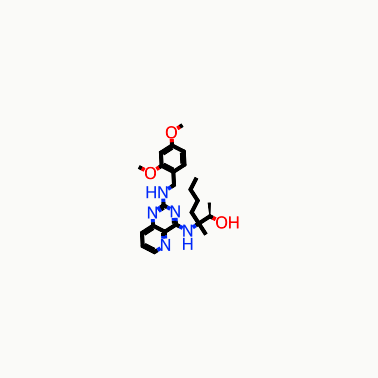 CCCCC(C)(Nc1nc(NCc2ccc(OC)cc2OC)nc2cccnc12)[C@@H](C)O